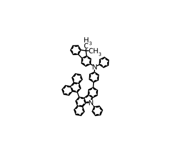 CC1(C)c2ccccc2-c2ccc(N(c3ccccc3)c3ccc(-c4ccc5c(c4)c4c(-c6cc7ccccc7c7ccccc67)cc6ccccc6c4n5-c4ccccc4)cc3)cc21